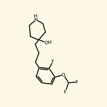 OC1(CCCc2cccc(OC(F)F)c2F)CCNCC1